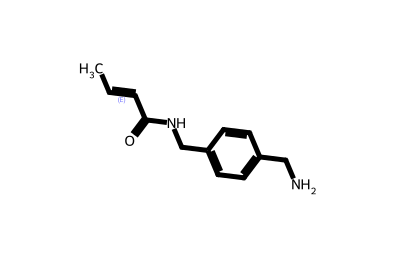 C/C=C/C(=O)NCc1ccc(CN)cc1